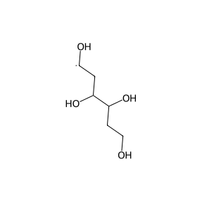 O[CH]CC(O)C(O)CCO